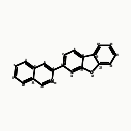 c1ccc2cc(-c3ccc4c(n3)oc3ccccc34)ncc2c1